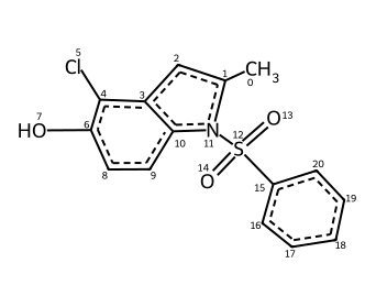 Cc1cc2c(Cl)c(O)ccc2n1S(=O)(=O)c1ccccc1